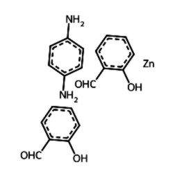 Nc1ccc(N)cc1.O=Cc1ccccc1O.O=Cc1ccccc1O.[Zn]